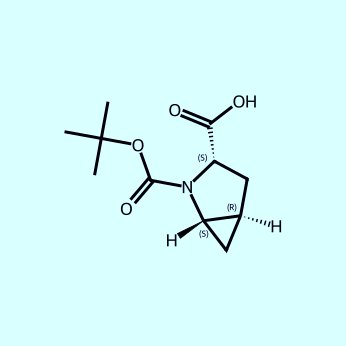 CC(C)(C)OC(=O)N1[C@H](C(=O)O)C[C@H]2C[C@@H]21